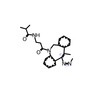 C/N=N\C1=C(/C)c2ccccc2CN(C(=O)CCNC(=O)C(C)C)c2ccccc21